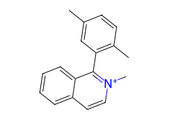 Cc1ccc(C)c(-c2c3ccccc3cc[n+]2C)c1